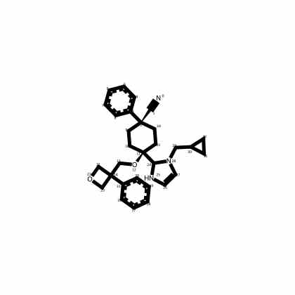 N#C[C@]1(c2ccccc2)CC[C@@](OCC2(c3ccccc3)COC2)(C2NC=CN2CC2CC2)CC1